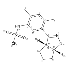 Cc1cc(C)c(C2=NO[C@@H]3CCC[C@H]23)cc1NS(=O)(=O)C(F)(F)F